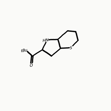 CC(C)(C)C(=O)C1CC2SCCCC2N1